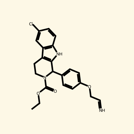 CCOC(=O)N1CCc2c([nH]c3ccc(Cl)cc23)C1c1ccc(OCC=N)cc1